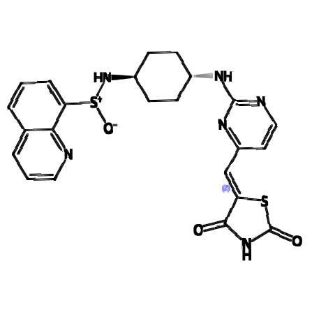 O=C1NC(=O)/C(=C/c2ccnc(N[C@H]3CC[C@H](N[S+]([O-])c4cccc5cccnc45)CC3)n2)S1